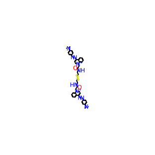 CN(C)c1ccc(/N=N/c2cc[n+](CC(=O)NCCSSCCNC(=O)C[n+]3ccc(/N=N/c4ccc(N(C)C)cc4)c4ccccc43)c3ccccc23)cc1